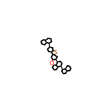 c1ccc2c(-c3ccc4c(c3)sc3cc5c(cc34)Oc3cccc4c(-c6cccc7ccccc67)ccc-5c34)cccc2c1